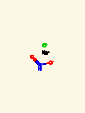 O=[NH+][O-].[Cl-].[Na+]